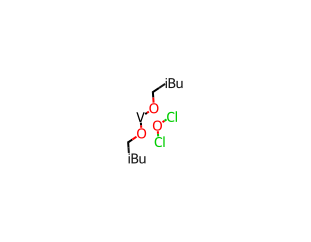 CCC(C)C[O][V][O]CC(C)CC.ClOCl